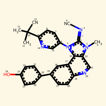 Cn1/c(=N/C#N)n(-c2ccc(C(C)(C)C#N)nc2)c2c3cc(-c4ccc(O)cc4)ccc3ncc21